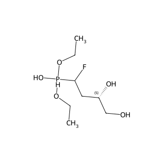 CCO[PH](O)(OCC)C(F)C[C@H](O)CO